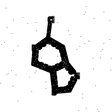 Clc1cc2ncsc2cn1